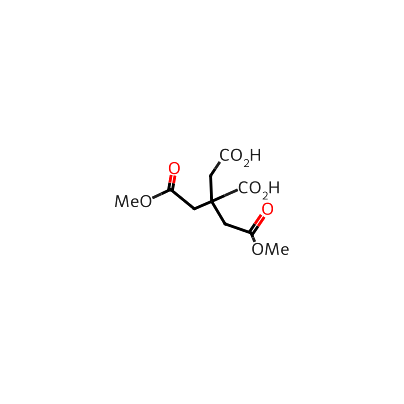 COC(=O)CC(CC(=O)O)(CC(=O)OC)C(=O)O